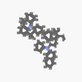 CCC1=C(/C=C\CN(c2ccccc2)c2ccc3ccccc3c2)c2ccc(-c3ccc4c(c3)C(C)(C)c3cccc5c3N4c3ccccc3C5(C)C)cc2C1(C)C